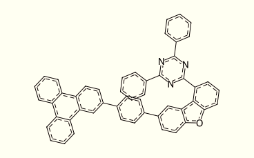 c1ccc(-c2nc(-c3ccccc3)nc(-c3cccc4oc5ccc(-c6ccc(-c7ccc8c9ccccc9c9ccccc9c8c7)cc6)cc5c34)n2)cc1